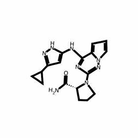 NC(=O)[C@H]1CCCN1c1nc(Nc2cc(C3CC3)n[nH]2)c2cccn2n1